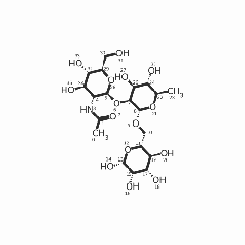 CC(=O)N[C@H]1[C@H](O[C@@H]2[C@@H](OC[C@H]3O[C@@H](O)[C@@H](O)[C@@H](O)[C@@H]3O)O[C@H](C)[C@@H](O)[C@@H]2O)O[C@H](CO)[C@@H](O)[C@@H]1O